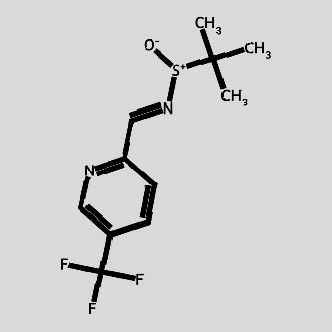 CC(C)(C)[S+]([O-])N=Cc1ccc(C(F)(F)F)cn1